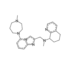 CN1CCCN(c2cccc3nc(CN(C)C4CCCc5cccnc54)cn23)CC1